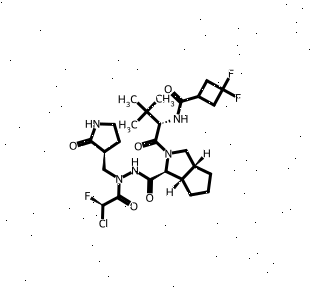 CC(C)(C)[C@H](NC(=O)C1CC(F)(F)C1)C(=O)N1C[C@@H]2CCC[C@@H]2[C@H]1C(=O)NN(C[C@@H]1CCNC1=O)C(=O)[C@H](F)Cl